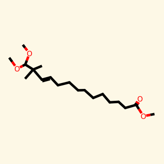 COC(=O)CCCCCCCCCC=CC(C)(C)C(OC)OC